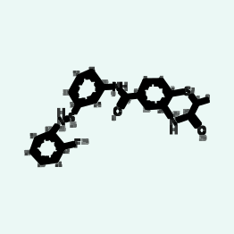 CC1Sc2ccc(C(=O)Nc3cccc(SNc4ccccc4F)c3)cc2NC1=O